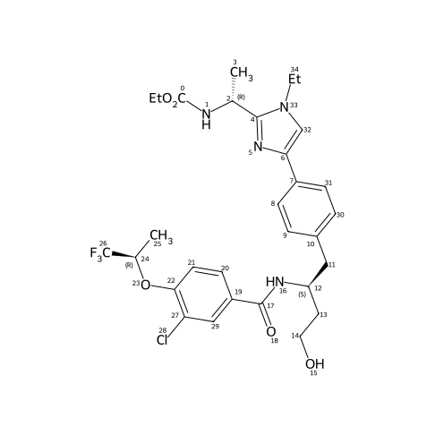 CCOC(=O)N[C@H](C)c1nc(-c2ccc(C[C@@H](CCO)NC(=O)c3ccc(O[C@H](C)C(F)(F)F)c(Cl)c3)cc2)cn1CC